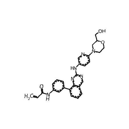 C=CC(=O)Nc1cccc(-c2cccc3cnc(Nc4ccc(N5CCOC(CO)C5)nc4)nc23)c1